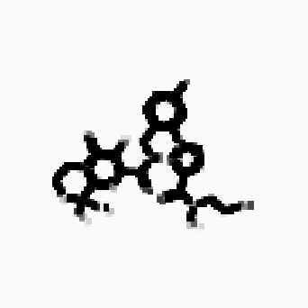 CN(CCO)C(=O)c1ncn(-c2cc(F)ccc2CNC(=O)c2nc3n(c(=O)c2O)CCOC3(C)C)n1